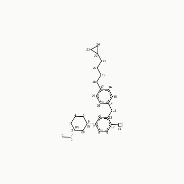 CC[C@@H]1CCC[C@H](c2ccc(Cl)c(Cc3ccc(CCCCC4CC4)cc3)c2)C1